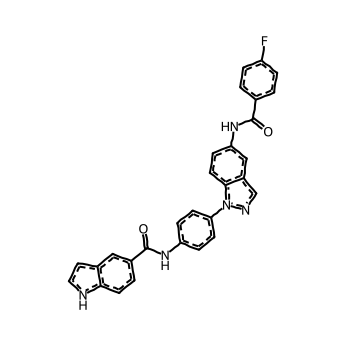 O=C(Nc1ccc2c(cnn2-c2ccc(NC(=O)c3ccc4[nH]ccc4c3)cc2)c1)c1ccc(F)cc1